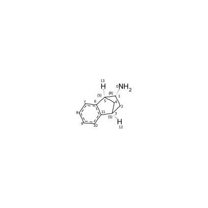 N[C@@H]1C[C@@H]2C[C@H]1c1ccccc12